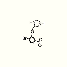 COC(=O)c1ccc(Br)c(COCC2CNCCN2)c1